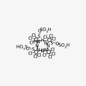 O=S(=O)(O)OCCSc1c(Cl)c(Cl)c(Cl)c2c1-c1nc-2nc2[nH]c(nc3nc(nc4[nH]c(n1)c1c(Cl)c(Cl)c(Cl)c(Cl)c41)-c1c(Cl)c(Cl)c(Cl)c(SCCOS(=O)(=O)O)c1-3)c1c(Cl)c(Cl)c(Cl)c(SCCOS(=O)(=O)O)c21